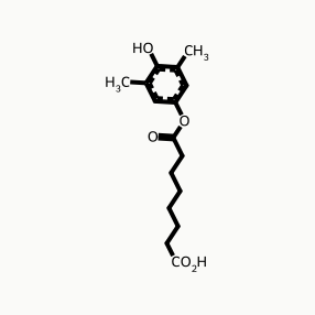 Cc1cc(OC(=O)CCCCCCC(=O)O)cc(C)c1O